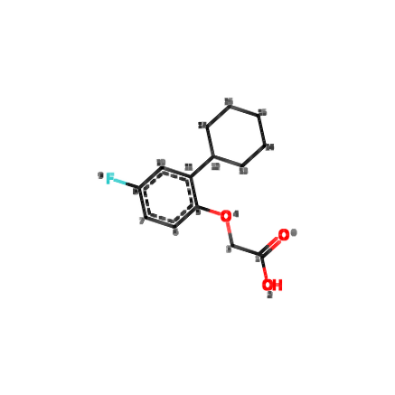 O=C(O)COc1ccc(F)cc1C1CCCCC1